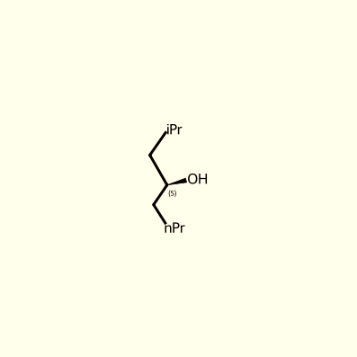 CCCC[C@H](O)CC(C)C